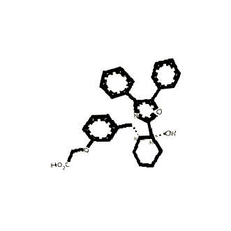 O=C(O)COc1cccc(C[C@H]2CCCC[C@]2(O)c2nc(-c3ccccc3)c(-c3ccccc3)o2)c1